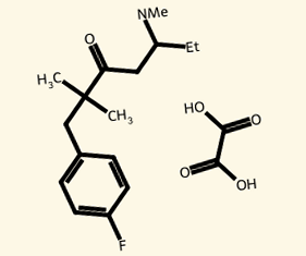 CCC(CC(=O)C(C)(C)Cc1ccc(F)cc1)NC.O=C(O)C(=O)O